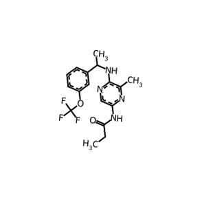 CCC(=O)Nc1cnc(NC(C)c2cccc(OC(F)(F)F)c2)c(C)n1